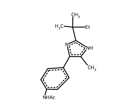 CCC(C)(C)c1nc(-c2ccc(NC(C)=O)cc2)c(C)[nH]1